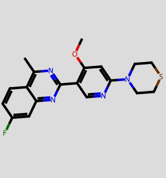 COc1cc(N2CCSCC2)ncc1-c1nc(C)c2ccc(F)cc2n1